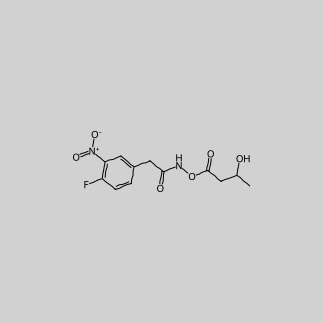 CC(O)CC(=O)ONC(=O)Cc1ccc(F)c([N+](=O)[O-])c1